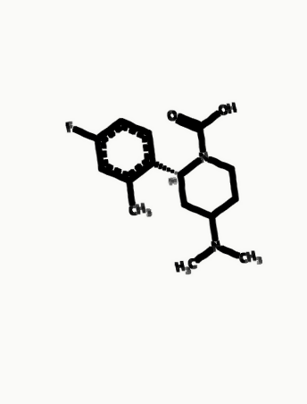 Cc1cc(F)ccc1[C@H]1CC(N(C)C)CCN1C(=O)O